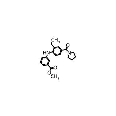 CCc1cc(C(=O)N2CCCC2)ccc1Nc1cccc(C(=O)OC)c1